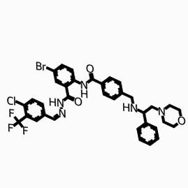 O=C(Nc1ccc(Br)cc1C(=O)N/N=C\c1ccc(Cl)c(C(F)(F)F)c1)c1ccc(CNC(CN2CCOCC2)c2ccccc2)cc1